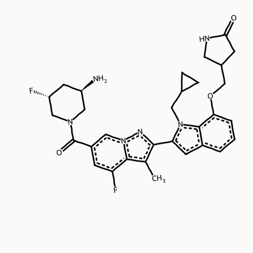 Cc1c(-c2cc3cccc(OCC4CNC(=O)C4)c3n2CC2CC2)nn2cc(C(=O)N3C[C@H](N)C[C@@H](F)C3)cc(F)c12